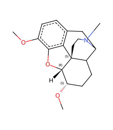 COc1ccc2c3c1O[C@H]1[C@@H](OC)CCC4C(C2)N(C)CC[C@@]341